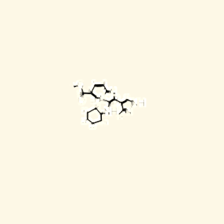 COC(=O)c1ccc2nc(-c3c[nH]nc3C)c(NC3CCCCC3)n2c1